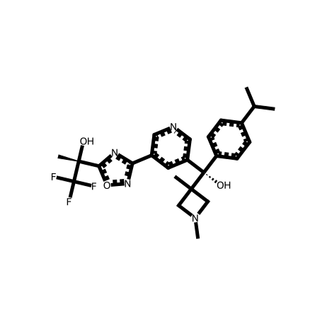 CC(C)c1ccc([C@](O)(c2cncc(-c3noc([C@@](C)(O)C(F)(F)F)n3)c2)C2(C)CN(C)C2)cc1